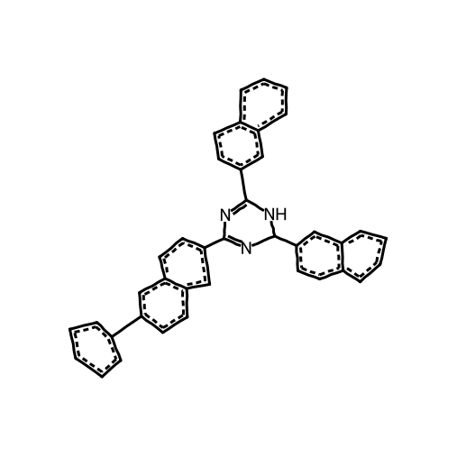 c1ccc(-c2ccc3cc(C4=NC(c5ccc6ccccc6c5)NC(c5ccc6ccccc6c5)=N4)ccc3c2)cc1